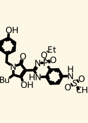 CCOP1(=O)N=C(C2=C(O)C(C(C)(C)C)N(Cc3ccc(O)cc3)C2=O)Nc2ccc(NS(C)(=O)=O)cc21